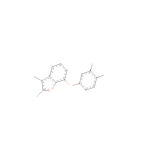 Cc1oc2c(Oc3ccc(C(=O)O)c(Cl)c3)cccc2c1C